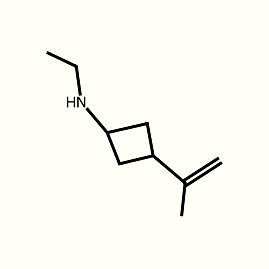 C=C(C)C1CC(NCC)C1